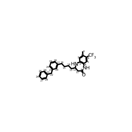 Cc1cc2c(cc1C(F)(F)F)NC(=O)CC(CCCCc1cccc(Cc3ccccc3)c1)N2